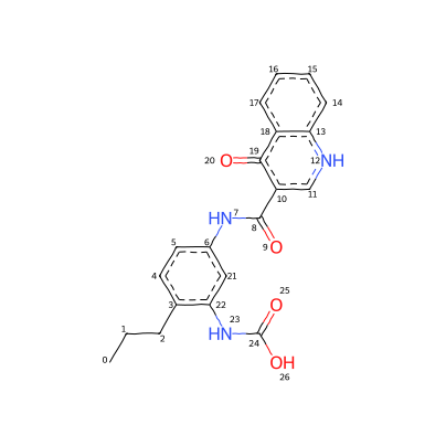 CCCc1ccc(NC(=O)c2c[nH]c3ccccc3c2=O)cc1NC(=O)O